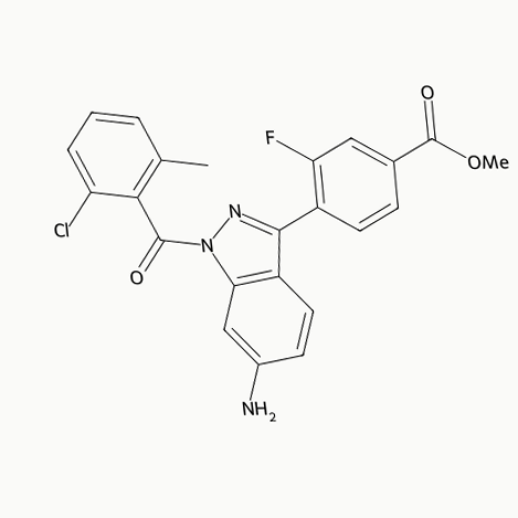 COC(=O)c1ccc(-c2nn(C(=O)c3c(C)cccc3Cl)c3cc(N)ccc23)c(F)c1